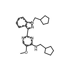 COc1cnc(-c2nn(CC3CCCC3)c3ccccc23)nc1NCC1CCCC1